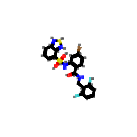 O=C(NCc1c(F)cccc1F)c1ccc(Br)cc1NS(=O)(=O)c1cccc2nsnc12